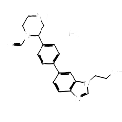 Cl.O=CN1CCNCC1c1ccc(-c2ccc3ncn(CCO)c3c2)cc1